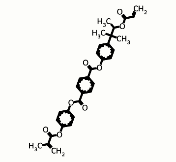 C=CC(=O)OC(C)C(C)(C)c1ccc(OC(=O)c2ccc(C(=O)Oc3ccc(OC(=O)C(=C)C)cc3)cc2)cc1